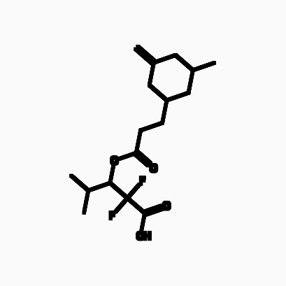 C=C1CC(C)CC(CCC(=O)OC(C(C)C)C(F)(F)C(=O)O)C1